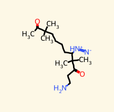 CC(=O)C(C)(C)CCCCC([NH+]=[N-])C(C)(C)C(=O)CCN